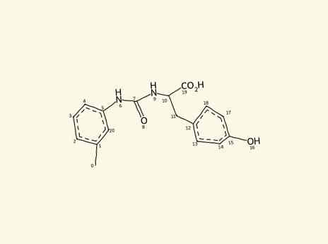 Cc1cccc(NC(=O)NC(Cc2ccc(O)cc2)C(=O)O)c1